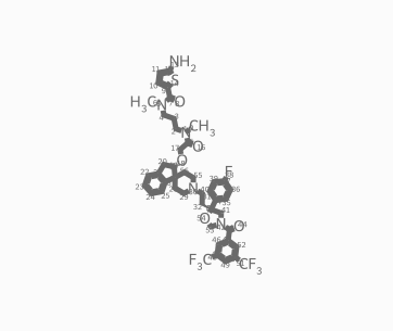 CN(CCCN(C)C(=O)c1ccc(N)s1)C(=O)CO[C@H]1Cc2ccccc2C12CCN(CC[C@@]1(c3ccc(F)cc3)CN(C(=O)c3cc(C(F)(F)F)cc(C(F)(F)F)c3)CO1)CC2